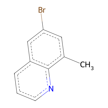 Cc1cc(Br)cc2cccnc12